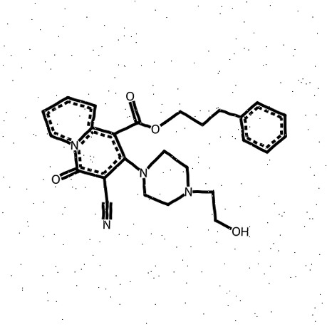 N#Cc1c(N2CCN(CCO)CC2)c(C(=O)OCCCc2ccccc2)c2ccccn2c1=O